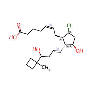 CC1(C(O)C/C=C/[C@@H]2[C@@H](C/C=C\CCCC(=O)O)[C@@H](Cl)C[C@H]2O)CCC1